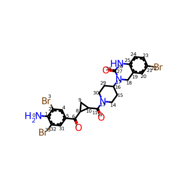 Nc1c(Br)cc(C(=O)C2CC2C(=O)N2CCC(N3Cc4cc(Br)ccc4NC3=O)CC2)cc1Br